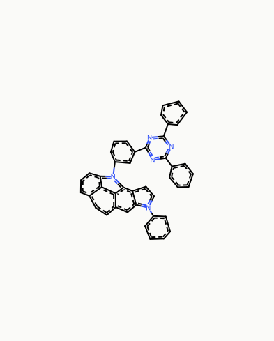 c1ccc(-c2nc(-c3ccccc3)nc(-c3cccc(-n4c5cccc6ccc7cc8c(ccn8-c8ccccc8)c4c7c65)c3)n2)cc1